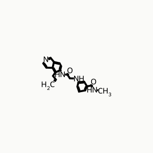 C=CCc1c(NC(=O)CNc2cccc(C(=O)NC)c2)ccc2cnccc12